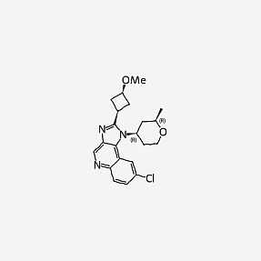 CO[C@H]1C[C@@H](c2nc3cnc4ccc(Cl)cc4c3n2[C@@H]2CCO[C@H](C)C2)C1